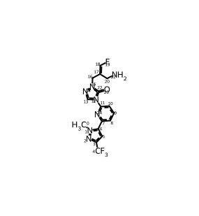 Cn1nc(C(F)(F)F)cc1-c1cccc(-n2cnn(C/C(=C/F)CN)c2=O)n1